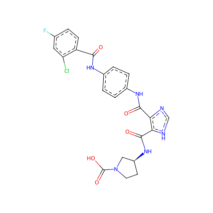 O=C(Nc1ccc(NC(=O)c2nc[nH]c2C(=O)N[C@H]2CCN(C(=O)O)C2)cc1)c1ccc(F)cc1Cl